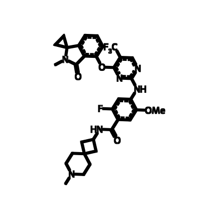 COc1cc(C(=O)NC2CC3(CCN(C)CC3)C2)c(F)cc1Nc1ncc(C(F)(F)F)c(Oc2cccc3c2C(=O)N(C)C32CC2)n1